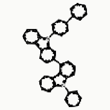 c1ccc(-c2ccc(-n3c4ccccc4c4ccc(-c5cccc6c5c5ccccc5n6-c5ccccc5)cc43)cc2)cc1